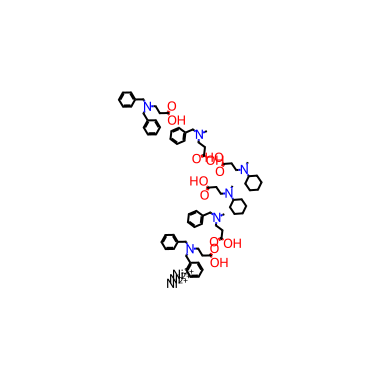 CN(CCC(=O)O)C1CCCCC1.CN(CCC(=O)O)C1CCCCC1.CN(CCC(=O)O)Cc1ccccc1.CN(CCC(=O)O)Cc1ccccc1.O=C(O)CCN(Cc1ccccc1)Cc1ccccc1.O=C(O)CCN(Cc1ccccc1)Cc1ccccc1.[Ni+2].[Ni+2].[Ni+2]